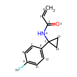 C=CC(=O)NC1(c2ccc(F)cc2)CC1